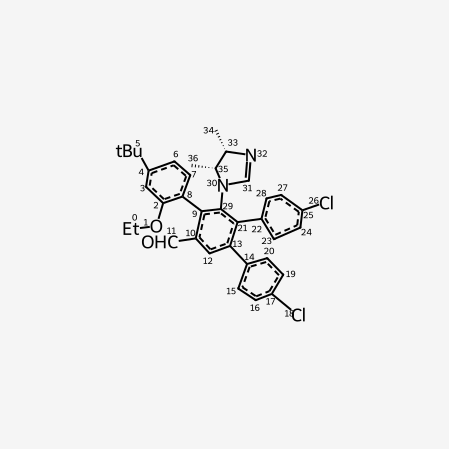 CCOc1cc(C(C)(C)C)ccc1-c1c(C=O)cc(-c2ccc(Cl)cc2)c(-c2ccc(Cl)cc2)c1N1C=N[C@@H](C)[C@H]1C